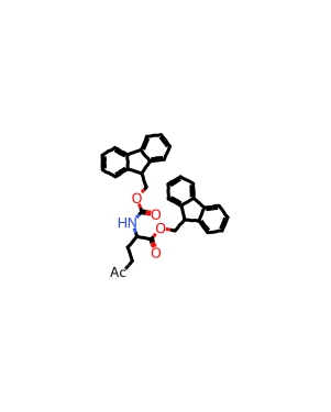 CC(=O)CCC(NC(=O)OCC1c2ccccc2-c2ccccc21)C(=O)OCC1c2ccccc2-c2ccccc21